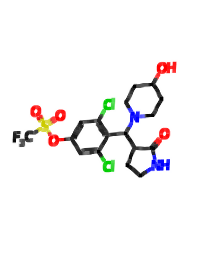 O=C1NCCC1C(c1c(Cl)cc(OS(=O)(=O)C(F)(F)F)cc1Cl)N1CCC(O)CC1